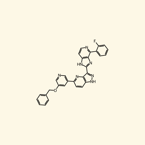 Fc1ccccc1-c1nccc2[nH]c(-c3n[nH]c4ccc(-c5cncc(OCc6ccccc6)c5)nc34)nc12